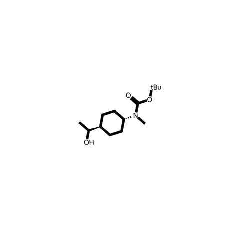 CC(O)[C@H]1CC[C@H](N(C)C(=O)OC(C)(C)C)CC1